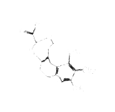 CCC(=O)C1OCC2c3c(cc(C)c(OC)c3C)CCC2O1